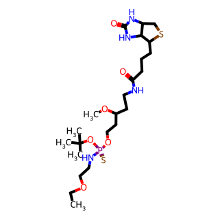 CCOCCNP(=S)(OCCC(CCNC(=O)CCCC1SCC2NC(=O)NC21)OC)OC(C)(C)C